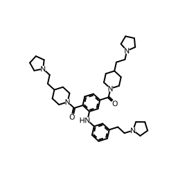 O=C(c1ccc(C(=O)N2CCC(CCN3CCCC3)CC2)c(Nc2cccc(CCN3CCCC3)c2)c1)N1CCC(CCN2CCCC2)CC1